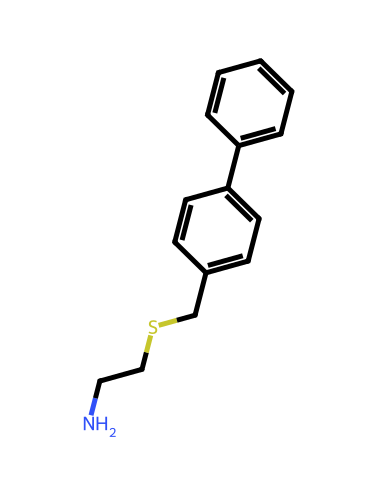 NCCSCc1ccc(-c2ccccc2)cc1